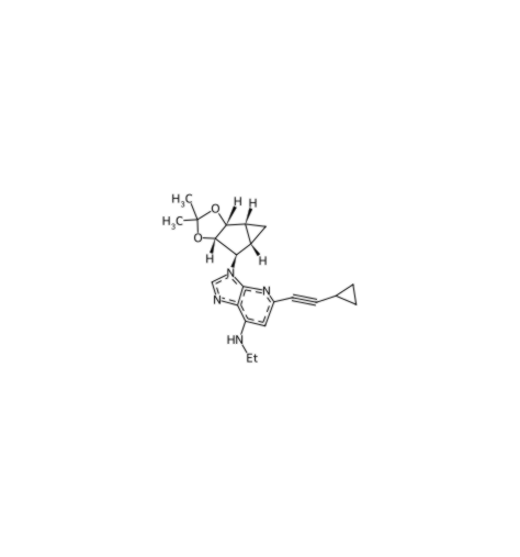 CCNc1cc(C#CC2CC2)nc2c1ncn2[C@@H]1[C@H]2C[C@H]2[C@H]2OC(C)(C)O[C@H]21